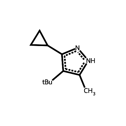 Cc1[nH]nc(C2CC2)c1C(C)(C)C